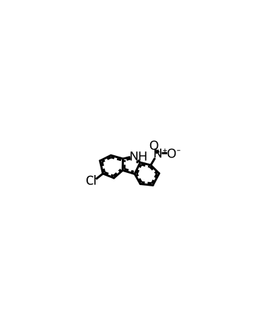 O=[N+]([O-])c1cccc2c1[nH]c1ccc(Cl)cc12